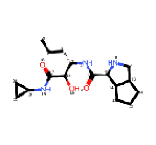 CCC[C@H](NC(=O)[C@H]1NCC2CCCC21)C(O)C(=O)NC1CC1